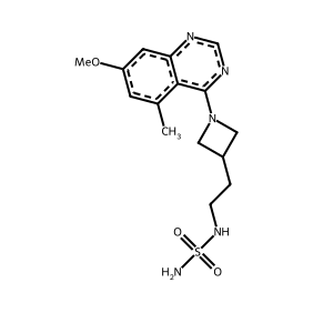 COc1cc(C)c2c(N3CC(CCNS(N)(=O)=O)C3)ncnc2c1